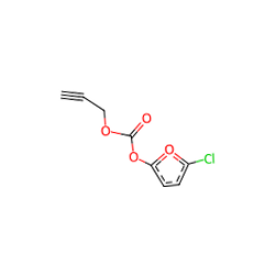 C#CCOC(=O)Oc1ccc(Cl)o1